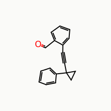 O=Cc1ccccc1C#CC1(c2ccccc2)CC1